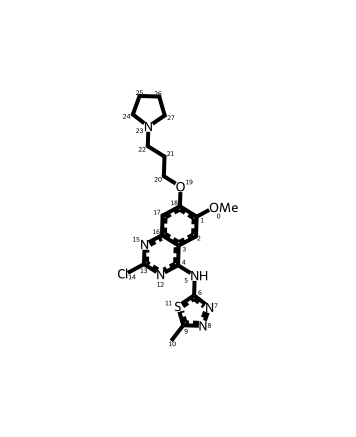 COc1cc2c(Nc3nnc(C)s3)nc(Cl)nc2cc1OCCCN1CCCC1